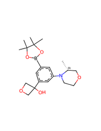 C[C@@H]1COCCN1c1cc(B2OC(C)(C)C(C)(C)O2)cc(C2(O)COC2)c1